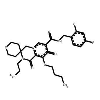 CCCCOc1c2n(cc(C(=O)NCc3ccc(F)cc3F)c1=O)CC1(CCOCC1)N(CCC)C2=O